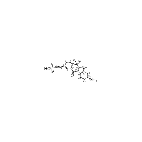 CC(C)(O)C#Cc1ccc2c(c1)C(=O)c1c([nH]c3cc(N)ccc13)C2(C)C